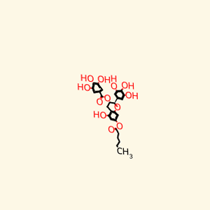 CCCCCC(=O)Oc1cc(O)c2c(c1)O[C@H](c1cc(O)c(O)c(O)c1)[C@H](OC(=O)c1cc(O)c(O)c(O)c1)C2